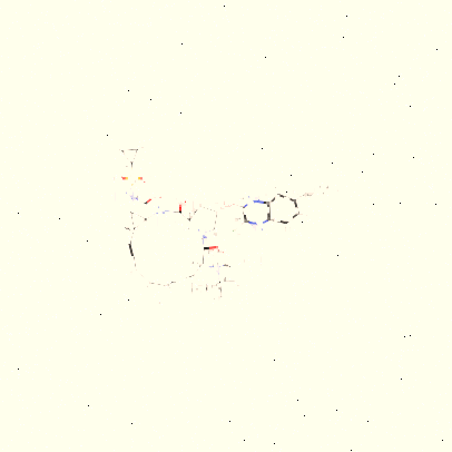 CC[C@@H]1C[C@H](C)CCC=C[C@@H]2C[C@@]2(C(=O)NS(=O)(=O)C2CC2)NC(=O)[C@@H]2C[C@@H](Oc3nc4cc(OC)ccc4nc3Cl)CN2C(=O)[C@H]1N(C(=O)O)C(C)(C)C(F)(F)F